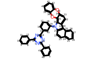 c1ccc(-c2nc(-c3ccccc3)nc(-c3cccc(-n4c5ccc6ccccc6c5c5ccc6c(c54)Oc4ccccc4O6)c3)n2)cc1